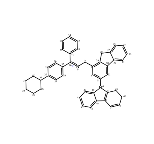 C1=Cc2c(n(-c3cc(C/N=C(\c4ccccc4)c4ccc(C5CCCCC5)cc4)c4c(c3)-c3ccccc3C4)c3ccccc23)CC1